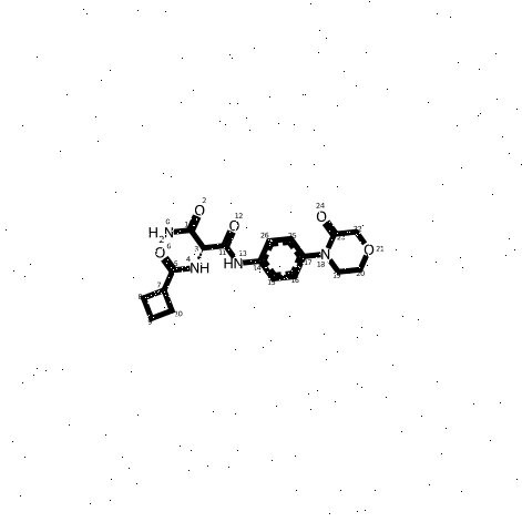 NC(=O)[C@@H](NC(=O)C1CCC1)C(=O)Nc1ccc(N2CCOCC2=O)cc1